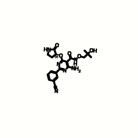 CC(C)(O)CONC(=O)c1c(N)nc(-c2cccc(C#N)c2)nc1O[C@@H]1CCNC1=O